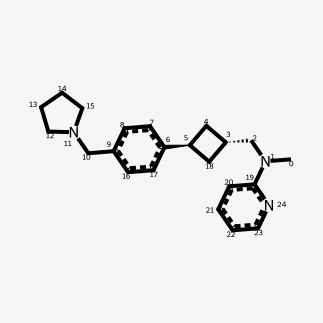 CN(C[C@H]1C[C@H](c2ccc(CN3CCCC3)cc2)C1)c1ccccn1